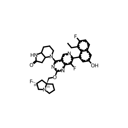 CCc1c(F)ccc2cc(O)cc(-c3ncc4c(N5CCCC6NC(=O)CC65)nc(OC[C@@]56CCCN5C[C@H](F)C6)nc4c3F)c12